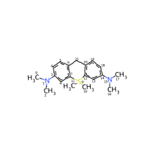 CN(C)c1ccc2c(c1)S(C)(C)c1cc(N(C)C)ccc1C2